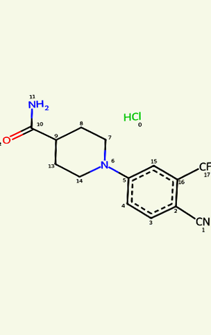 Cl.N#Cc1ccc(N2CCC(C(N)=O)CC2)cc1C(F)(F)F